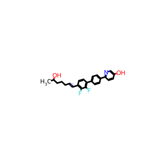 CC(O)CCC/C=C/c1ccc(-c2ccc(-c3ccc(O)cn3)cc2)c(F)c1F